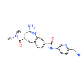 CCCN(CCC)C(=O)C1=Cc2ccc(C(=O)Nc3ccc(CN)nc3)cc2N=C(N)C1